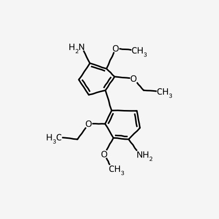 CCOc1c(-c2ccc(N)c(OC)c2OCC)ccc(N)c1OC